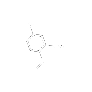 C=Nc1ccc(S)cc1OC